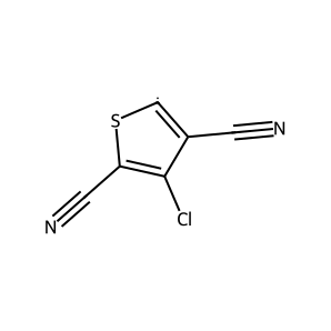 N#Cc1[c]sc(C#N)c1Cl